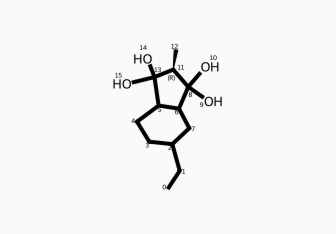 CCC1CCC2C(C1)C(O)(O)[C@H](C)C2(O)O